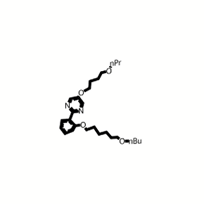 CCCCOCCCCCCOc1ccccc1-c1ncc(OCCCCOCCC)cn1